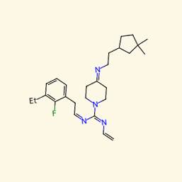 C=C/N=C(\N=C/Cc1cccc(CC)c1F)N1CCC(=NCCC2CCC(C)(C)C2)CC1